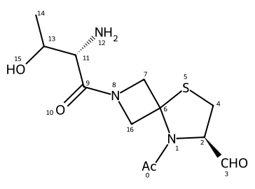 CC(=O)N1[C@H](C=O)CSC12CN(C(=O)[C@@H](N)C(C)O)C2